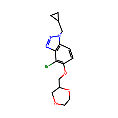 Brc1c(OCC2COCCO2)ccc2c1nnn2CC1CC1